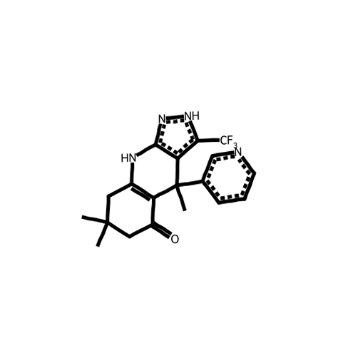 CC1(C)CC(=O)C2=C(C1)Nc1n[nH]c(C(F)(F)F)c1C2(C)c1cccnc1